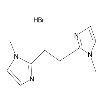 Br.Cn1ccnc1CCc1nccn1C